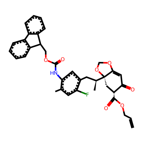 C=CCOC(=O)[C@@H]1C[C@]2([C@@H](C)Cc3cc(NC(=O)OCC4c5ccccc5-c5ccccc54)c(C)cc3F)OCOC2=CC1=O